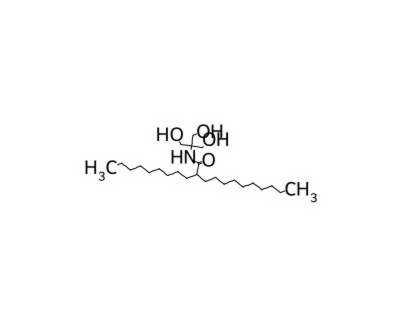 CCCCCCCCCCC(CCCCCCCCC)C(=O)NC(CO)(CO)CO